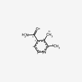 Cc1nccc(C(N)=O)c1C